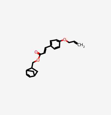 C=CCOc1ccc(/C=C/C(=O)OCC2CC3C=CC2C3)cc1